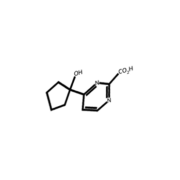 O=C(O)c1nccc(C2(O)CCCC2)n1